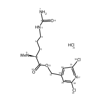 CN[C@@H](CCCNC(N)=O)C(=O)OCc1cc(Cl)nc(Cl)c1.Cl